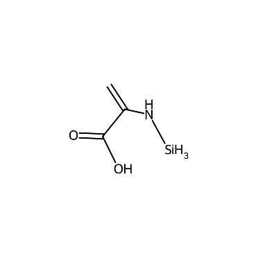 C=C(N[SiH3])C(=O)O